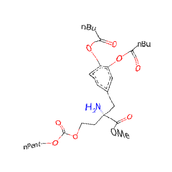 CCCCCOC(=O)OCC[C@@](N)(Cc1ccc(OC(=O)CCCC)c(OC(=O)CCCC)c1)C(=O)OC